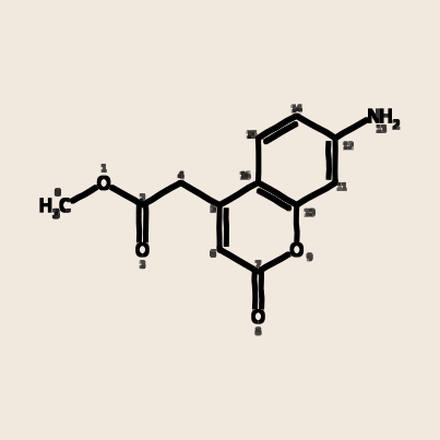 COC(=O)Cc1cc(=O)oc2cc(N)ccc12